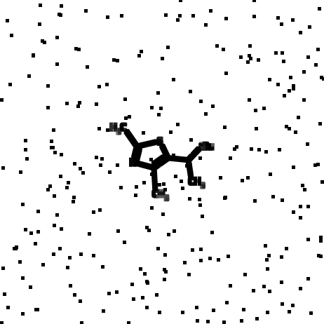 Cc1nc(C)c(C(C)C(C)(C)C)s1